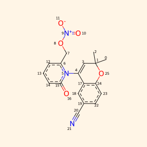 CC1(C)C=C(n2c(CO[N+](=O)[O-])cccc2=O)c2cc(C#N)ccc2O1